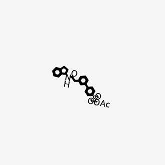 CC(=O)OS(=O)(=O)c1ccc(-c2cccc(CC(=O)N[C@H]3CCc4ccccc43)c2)cc1